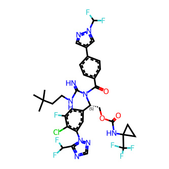 CC(C)(C)CCNC(=N)N(C(=O)c1ccc(-c2cnn(C(F)F)c2)cc1)[C@H](COC(=O)NC1(C(F)(F)F)CC1)c1cc(F)c(Cl)c(-n2ncnc2C(F)F)c1